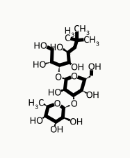 C[C@@H]1O[C@H](O[C@H]2[C@@H](O)[C@@H](CO)O[C@@H](O[C@@H]([C@H](O)[C@@H](O)CC(C)(C)C)[C@H](O)CO)[C@@H]2O)[C@@H](O)[C@H](O)[C@@H]1O